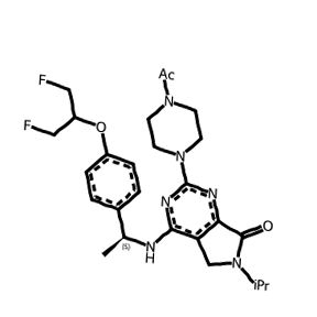 CC(=O)N1CCN(c2nc(N[C@@H](C)c3ccc(OC(CF)CF)cc3)c3c(n2)C(=O)N(C(C)C)C3)CC1